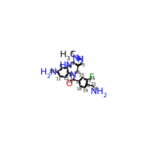 Cn1ncc2c1Nc1cc(N)ccc1N(C(=O)c1ccc(CN)c(F)c1)C2